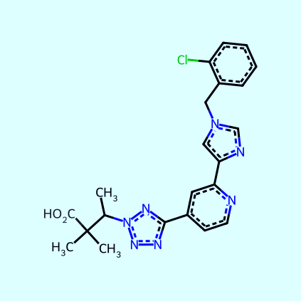 CC(n1nnc(-c2ccnc(-c3cn(Cc4ccccc4Cl)cn3)c2)n1)C(C)(C)C(=O)O